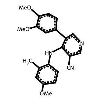 COc1ccc(Nc2c(C#N)cncc2-c2ccc(OC)c(OC)c2)c(C)c1